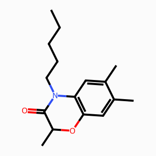 CCCCCN1C(=O)C(C)Oc2cc(C)c(C)cc21